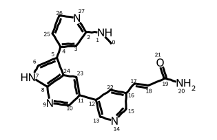 CNc1cc(-c2c[nH]c3ncc(-c4cncc(C=CC(N)=O)c4)cc23)ccn1